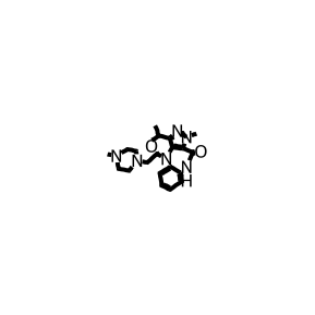 CC(C)c1nn(C)c2c1N(C(=O)CN1CCN(C)CC1)c1ccccc1NC2=O